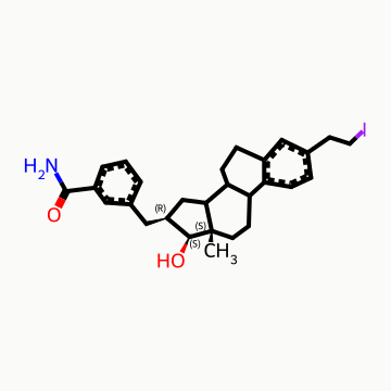 C[C@]12CCC3c4ccc(CCI)cc4CCC3C1C[C@H](Cc1cccc(C(N)=O)c1)[C@@H]2O